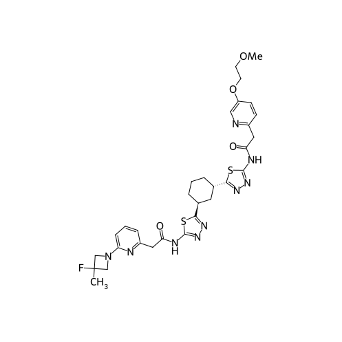 COCCOc1ccc(CC(=O)Nc2nnc([C@H]3CCC[C@H](c4nnc(NC(=O)Cc5cccc(N6CC(C)(F)C6)n5)s4)C3)s2)nc1